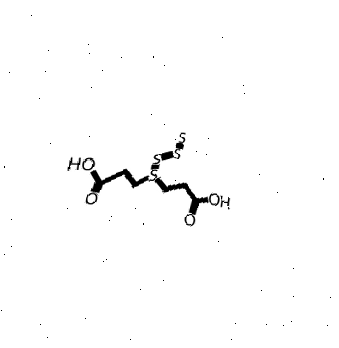 O=C(O)CCS(CCC(=O)O)=S=S=S